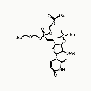 COC1C(O[Si](C)(C)C(C)(C)C)[C@@H](/C=C/P(=O)(OCOCC(C)(C)C)OCOC(=O)C(C)(C)C)O[C@H]1n1ccc(=O)[nH]c1=O